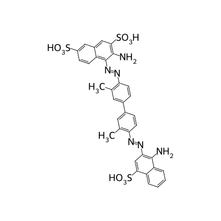 Cc1cc(-c2ccc(/N=N/c3c(N)c(S(=O)(=O)O)cc4cc(S(=O)(=O)O)ccc34)c(C)c2)ccc1/N=N/c1cc(S(=O)(=O)O)c2ccccc2c1N